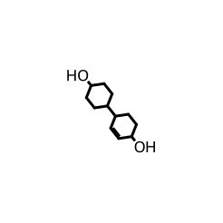 OC1C=CC(C2CCC(O)CC2)CC1